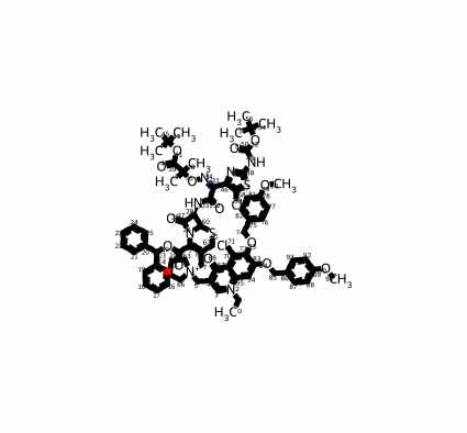 CCn1cc(C[N+]2(CC3=C(C(=O)OC(c4ccccc4)c4ccccc4)N4C(=O)[C@@H](NC(=O)/C(=N\OC(C)(C)C(=O)OC(C)(C)C)c5nc(NC(=O)OC(C)(C)C)sc5Cl)C4SC3)CCCC2)c(=O)c2c(Cl)c(OCc3ccc(OC)cc3)c(OCc3ccc(OC)cc3)cc21